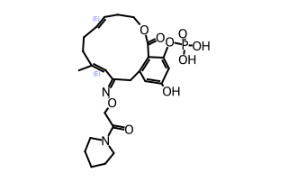 C/C1=C\C(=NOCC(=O)N2CCCCC2)Cc2cc(O)cc(OP(=O)(O)O)c2C(=O)OCC/C=C/CC1